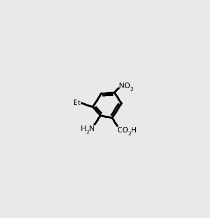 CCc1cc([N+](=O)[O-])cc(C(=O)O)c1N